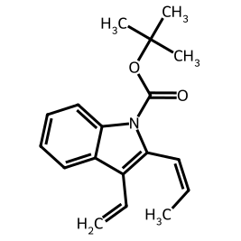 C=Cc1c(/C=C\C)n(C(=O)OC(C)(C)C)c2ccccc12